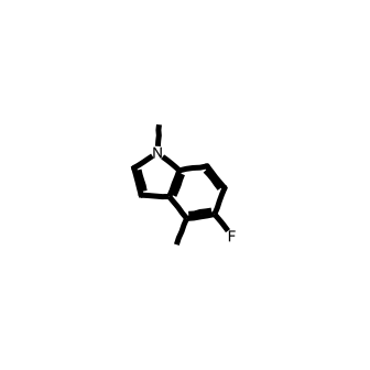 Cc1c(F)ccc2c1ccn2C